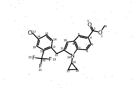 COC(=O)c1ccc2c(c1)cc(Cc1ccc(Cl)cc1C(F)(F)F)n2C1CC1